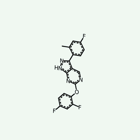 Cc1cc(F)ccc1-c1n[nH]c2nc(Oc3ccc(F)cc3F)ncc12